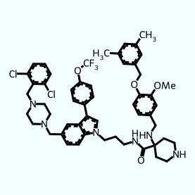 COc1cc(CNC2(C(=O)NCCCn3cc(-c4ccc(OC(F)(F)F)cc4)c4cc(CN5CCN(Cc6c(Cl)cccc6Cl)CC5)ccc43)CCNCC2)ccc1OCc1cc(C)cc(C)c1